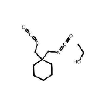 CCO.O=C=NCC1(CN=C=O)CCCCC1